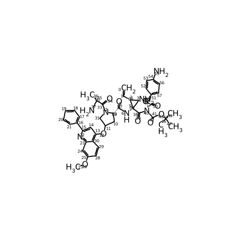 C=C[C@H]1C(N)[C@@]1(NC(=O)[C@@H]1CC(Oc2cc(-c3ccccc3)nc3cc(OC)ccc23)CN1C(=O)[C@H](C)N)C(=O)N(C(=O)OC(C)(C)C)S(=O)(=O)c1ccc(N)cc1